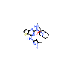 CNCC(=O)N1C2CCCC1CC(Nc1nc(Nc3cc(C)[nH]n3)c3sccc3n1)C2